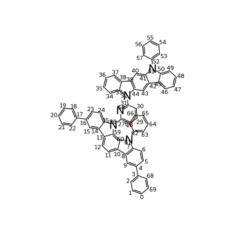 c1ccc(-c2ccc3c(c2)c2ccc4c5cc(-c6ccccc6)ccc5n(-c5cccc(-n6c7ccccc7c7cc8c(cc76)c6ccccc6n8-c6ccccc6)n5)c4c2n3-c2ccccc2)cc1